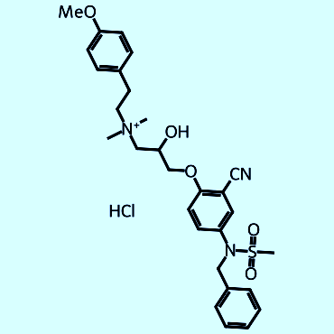 COc1ccc(CC[N+](C)(C)CC(O)COc2ccc(N(Cc3ccccc3)S(C)(=O)=O)cc2C#N)cc1.Cl